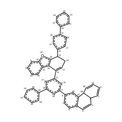 C1=CC2C=Cc3ccc(-c4nc(C5=CCC(c6ccc(-c7ccccc7)cc6)c6oc7ccccc7c65)nc(-c5ccccc5)n4)cc3C2C=C1